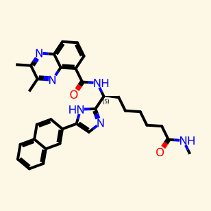 CNC(=O)CCCCC[C@H](NC(=O)c1cccc2nc(C)c(C)nc12)c1ncc(-c2ccc3ccccc3c2)[nH]1